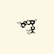 NC(=O)[C@@]1(N)CCN(c2cc(Cl)cc(Br)c2Cn2cnc3c(N)ncnc32)C1